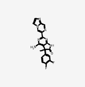 CC1(c2ccc(F)c(F)c2)C(=O)Nc2nc(-c3cn4ccnc4cn3)nc(N)c21